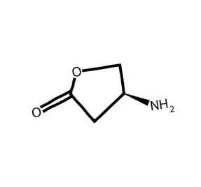 N[C@@H]1COC(=O)C1